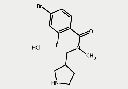 CN(CC1CCNC1)C(=O)c1ccc(Br)cc1F.Cl